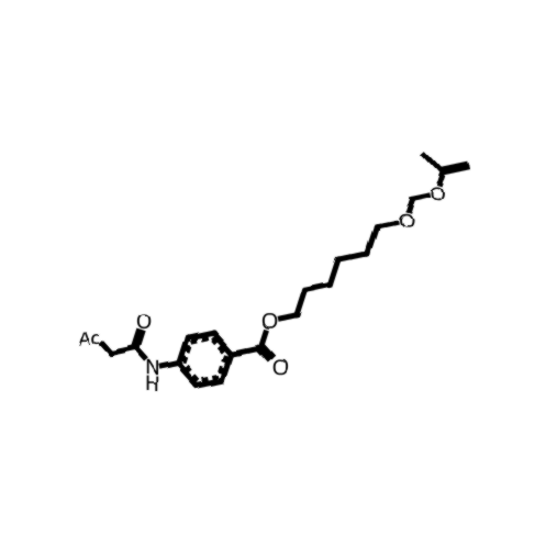 C=C(C)OCOCCCCCCOC(=O)c1ccc(NC(=O)CC(C)=O)cc1